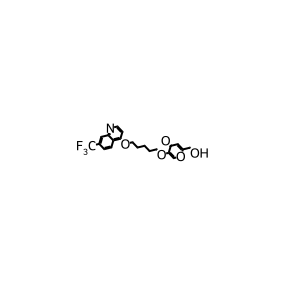 O=c1cc(CO)occ1OCCCCCOc1ccnc2cc(C(F)(F)F)ccc12